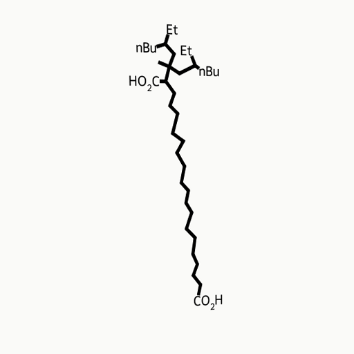 CCCCC(CC)CC(C)(CC(CC)CCCC)C(CCCCCCCCCCCCCCCCCC(=O)O)C(=O)O